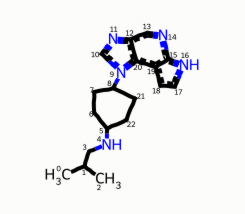 CC(C)CNC1CCC(n2cnc3cnc4[nH]ccc4c32)CC1